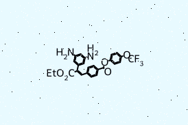 CCOC(=O)C(=Cc1ccc(C(=O)Oc2ccc(OC(F)(F)F)cc2)cc1)c1cc(N)cc(N)c1